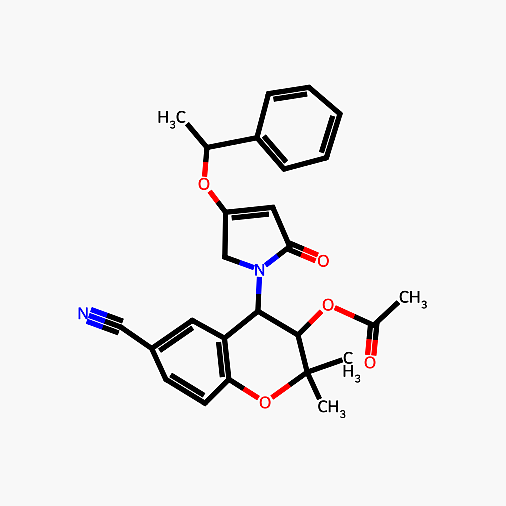 CC(=O)OC1C(N2CC(OC(C)c3ccccc3)=CC2=O)c2cc(C#N)ccc2OC1(C)C